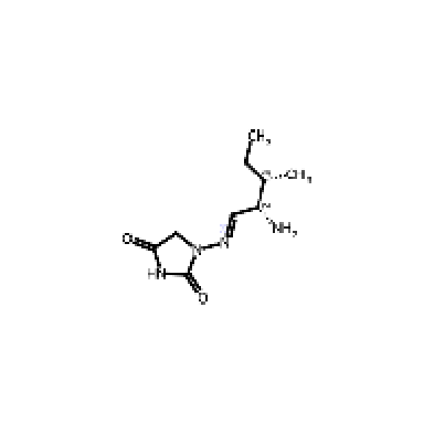 CC[C@H](C)[C@H](N)/C=N/N1CC(=O)NC1=O